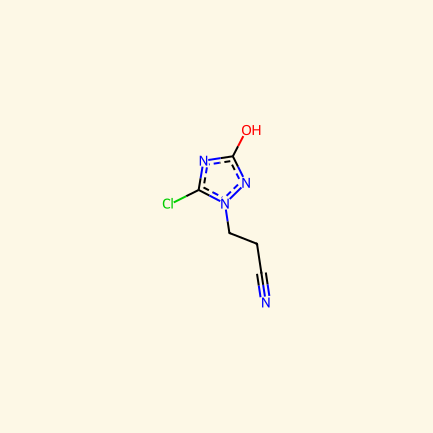 N#CCCn1nc(O)nc1Cl